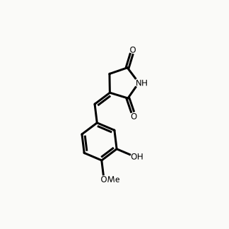 COc1ccc(C=C2CC(=O)NC2=O)cc1O